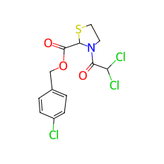 O=C(OCc1ccc(Cl)cc1)C1SCCN1C(=O)C(Cl)Cl